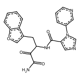 NC(=O)C(=O)C(Cc1coc2ccccc12)NC(=O)c1cncn1-c1cccnc1